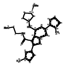 COCCNC(=O)c1c(-c2ccn(C)n2)cn2nc(-c3nccn3C)nc(N[C@H]3CC[C@H](OC)C3)c12